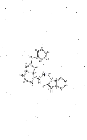 Cc1[nH]c2ccccc2c1/C=N\Nc1ncnc2sc(Cc3ccccc3)cc12